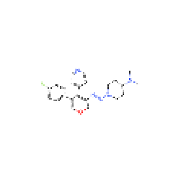 CN(C)C1CCN(N=NC2=C(c3ccncc3)C(c3ccc(F)cc3)=COC2)CC1